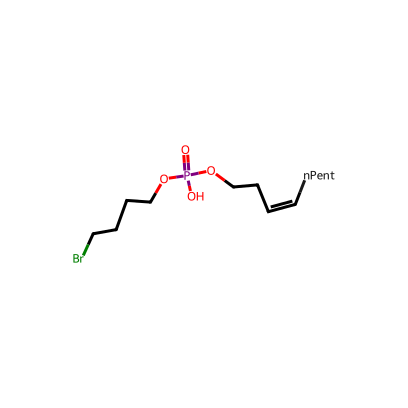 CCCCC/C=C\CCOP(=O)(O)OCCCCBr